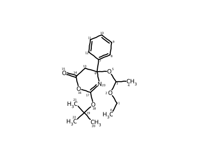 CCOC(C)OC1(c2ccccc2)CC(=O)OC(OC(C)(C)C)=N1